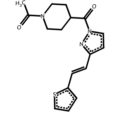 CC(=O)N1CCC(C(=O)n2ccc(C=Cc3cccs3)n2)CC1